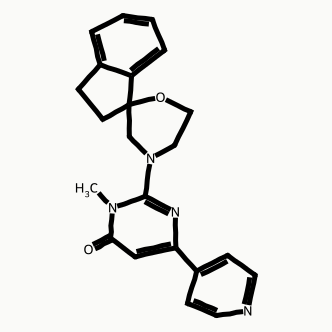 Cn1c(N2CCOC3(CCc4ccccc43)C2)nc(-c2ccncc2)cc1=O